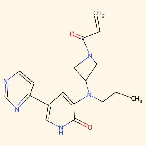 C=CC(=O)N1CC(N(CCC)c2cc(-c3ccncn3)c[nH]c2=O)C1